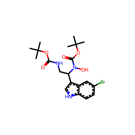 CC(C)(C)OC(=O)NCC(c1c[nH]c2ccc(Br)cc12)N(O)C(=O)OC(C)(C)C